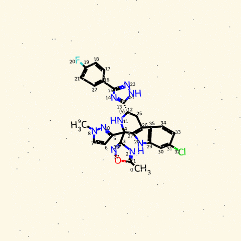 Cc1nc(C2(c3ccn(C)n3)N[C@H](c3nc(-c4ccc(F)cc4)n[nH]3)Cc3c2[nH]c2cc(Cl)ccc32)no1